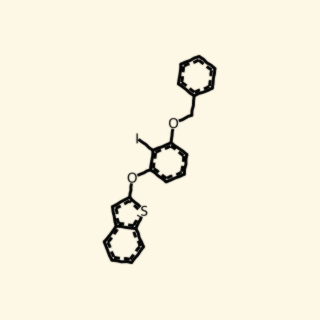 Ic1c(OCc2ccccc2)cccc1Oc1cc2ccccc2s1